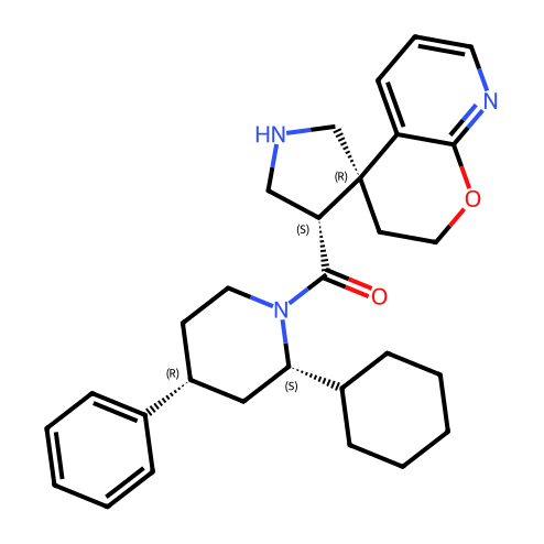 O=C([C@@H]1CNC[C@]12CCOc1ncccc12)N1CC[C@@H](c2ccccc2)C[C@H]1C1CCCCC1